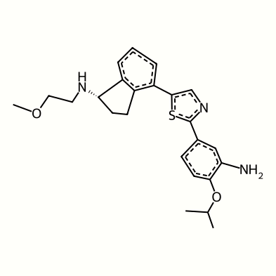 COCCN[C@H]1CCc2c(-c3cnc(-c4ccc(OC(C)C)c(N)c4)s3)cccc21